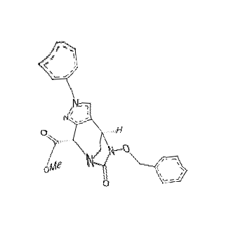 COC(=O)[C@@H]1c2nn(-c3ccccc3)cc2[C@@H]2CN1C(=O)N2OCc1ccccc1